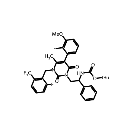 COc1cccc(-c2c(C)n(Cc3c(F)cccc3C(F)(F)F)c(=O)n(CC(NC(=O)OC(C)(C)C)c3ccccc3)c2=O)c1F